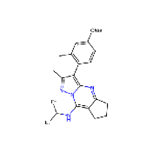 CCC(CC)Nc1c2c(nc3c(-c4ccc(OC)cc4C)c(C)nn13)CCC2